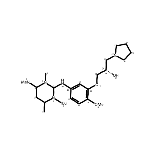 CCC(C)N1C(C)CC(NC)N(C)C1Nc1ccc(OC)c(OC[C@@H](O)CN2CCCC2)c1